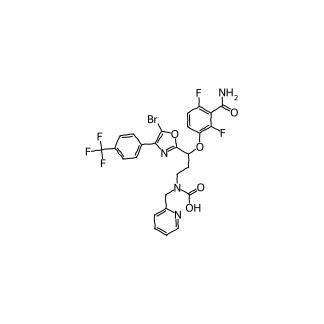 NC(=O)c1c(F)ccc(OC(CCN(Cc2ccccn2)C(=O)O)c2nc(-c3ccc(C(F)(F)F)cc3)c(Br)o2)c1F